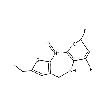 CCc1cc2c(s1)[N+](=O)C1=C(NC2)C(F)=CC(F)C1